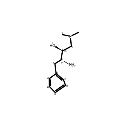 CN(C)C[C@H](O)[C@H](N)Cc1ccccc1